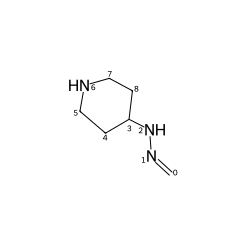 C=NNC1CCNCC1